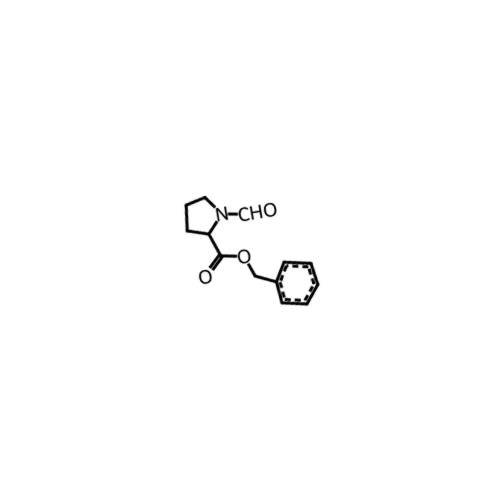 O=CN1CCCC1C(=O)OCc1ccccc1